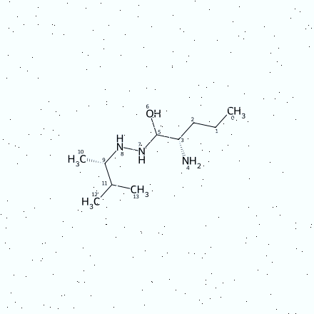 CCC[C@H](N)C(O)NN[C@@H](C)C(C)C